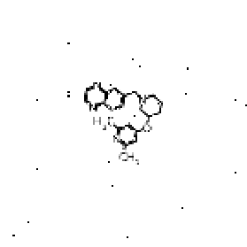 Cc1cc(O[C@@H]2CCCN(Cc3ccc4nccnc4c3)C2)cc(C)n1